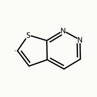 [c]1cc2ccnnc2s1